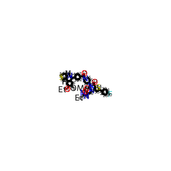 CCOc1cc2c(cc1OC)C(c1ccc(C(=O)N3CCC(n4c(=O)c5sc(-c6ccc(F)cc6)cc5n(Cc5nc(CC)no5)c4=O)CC3)cc1)=N[C@@H]1CCSC[C@H]21